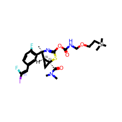 CN(C)C(=O)[C@]12C[C@H]1[C@@](C)(c1cc(/C=C(\F)I)ccc1F)N=C(OC(=O)NCOCC[Si](C)(C)C)S2